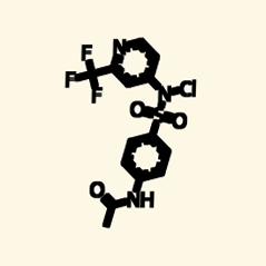 CC(=O)Nc1ccc(S(=O)(=O)N(Cl)c2ccnc(C(F)(F)F)c2)cc1